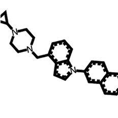 c1ccc2cc(-n3ccc4c(CN5CCN(C6CC6)CC5)cccc43)ccc2c1